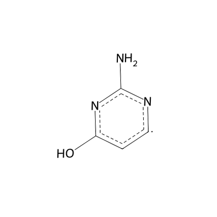 Nc1n[c]cc(O)n1